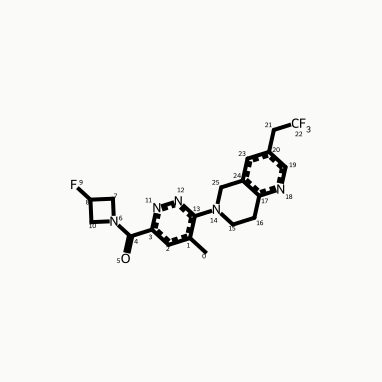 Cc1cc(C(=O)N2CC(F)C2)nnc1N1CCc2ncc(CC(F)(F)F)cc2C1